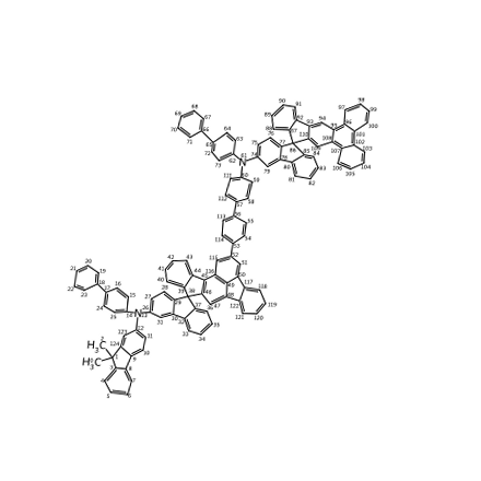 CC1(C)c2ccccc2-c2ccc(N(c3ccc(-c4ccccc4)cc3)c3ccc4c(c3)-c3ccccc3C43c4ccccc4-c4c3cc3c5c(cc(-c6ccc(-c7ccc(N(c8ccc(-c9ccccc9)cc8)c8ccc9c(c8)-c8ccccc8C98c9ccccc9-c9cc%10c%11ccccc%11c%11ccccc%11c%10cc98)cc7)cc6)cc45)-c4ccccc4-3)cc21